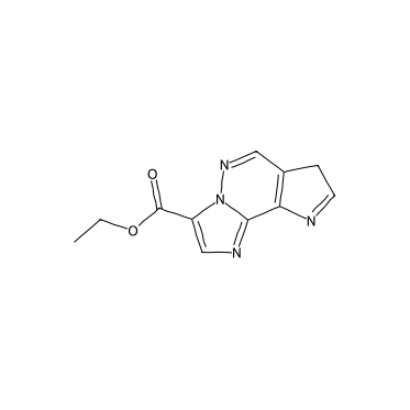 CCOC(=O)c1cnc2c3c(cnn12)CC=N3